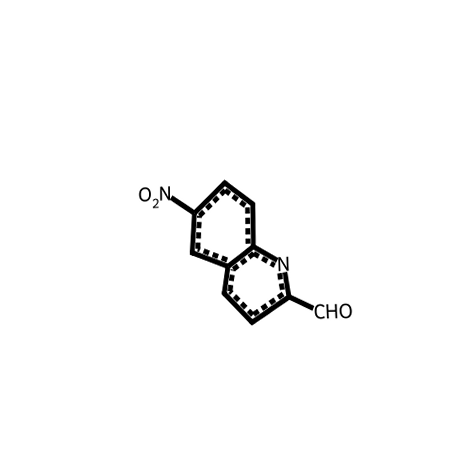 O=Cc1ccc2cc([N+](=O)[O-])ccc2n1